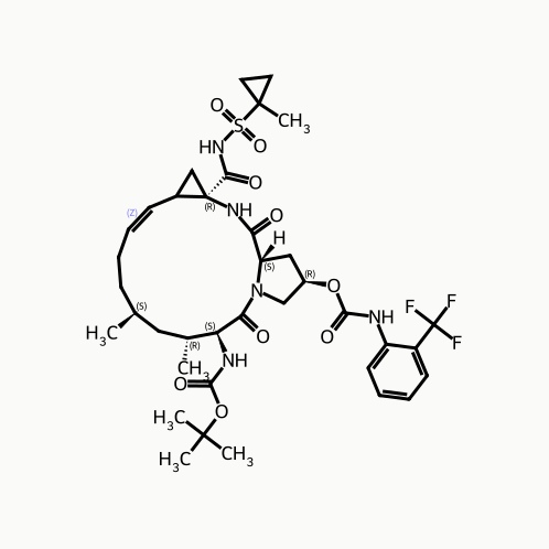 C[C@H]1CC/C=C\C2C[C@@]2(C(=O)NS(=O)(=O)C2(C)CC2)NC(=O)[C@@H]2C[C@@H](OC(=O)Nc3ccccc3C(F)(F)F)CN2C(=O)[C@@H](NC(=O)OC(C)(C)C)[C@H](C)C1